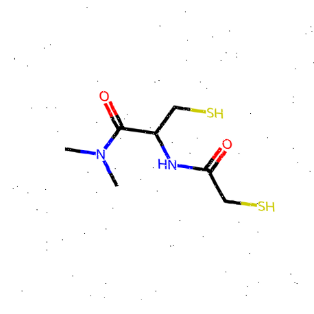 CN(C)C(=O)C(CS)NC(=O)CS